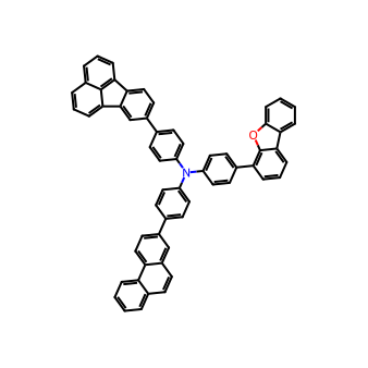 c1cc2c3c(cccc3c1)-c1cc(-c3ccc(N(c4ccc(-c5ccc6c(ccc7ccccc76)c5)cc4)c4ccc(-c5cccc6c5oc5ccccc56)cc4)cc3)ccc1-2